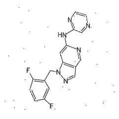 Fc1ccc(F)c(Cn2ncc3cnc(Nc4cnccn4)cc32)c1